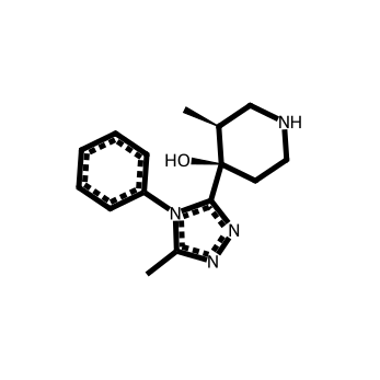 Cc1nnc([C@@]2(O)CCNC[C@@H]2C)n1-c1ccccc1